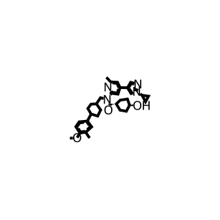 COc1ccc(C2CCC(CN(c3cc(-c4cnn(C5CC5)c4)cc(C)n3)C(=O)[C@H]3CC[C@H](O)CC3)CC2)cc1C